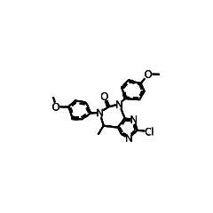 COc1ccc(N2C(=O)N(c3ccc(OC)cc3)C(C)c3cnc(Cl)nc32)cc1